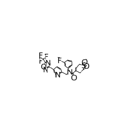 O=C(C1CCS(=O)(=O)CC1)N(Cc1ccc(-c2noc(C(F)(F)F)n2)cn1)c1cccc(F)c1